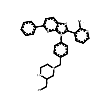 Nc1ncccc1-c1nc2ccc(-c3ccccc3)nc2n1-c1ccc(CN2CCNC(CO)C2)cc1